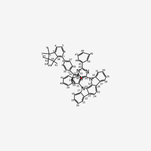 CC1(C)c2cccc(-c3ccc(-c4ccc(-n5c6ccccc6c6ccc7c8ccccc8n(-c8nc(-c9ccccc9)nc(-c9ccccc9)n8)c7c65)cc4)cc3)c2C(C)(C)C1(C)C